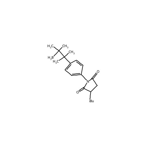 BC(C)(C)C(C)(C)c1ccc(N2C(=O)CC(C(C)CC)C2=O)cc1